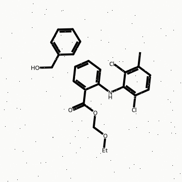 CCOCOC(=O)c1ccccc1Nc1c(Cl)ccc(C)c1Cl.OCc1ccccc1